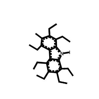 CCc1c(CC)c(CC)c2c(c1CC)c1c(CC)c(C)c(CC)c(CC)c1n2I